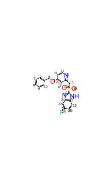 Cc1c(OCc2ccccc2)ccnc1CS(=O)(=O)c1nc2cc(F)ccc2[nH]1